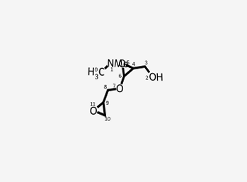 CNC.OCC1OC1OCC1CO1